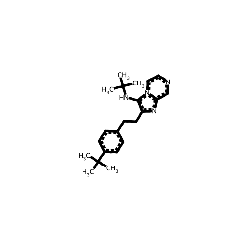 CC(C)(C)Nc1c(CCc2ccc(C(C)(C)C)cc2)nc2cnccn12